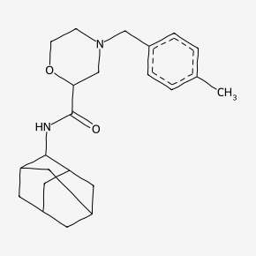 Cc1ccc(CN2CCOC(C(=O)NC3C4CC5CC(C4)CC3C5)C2)cc1